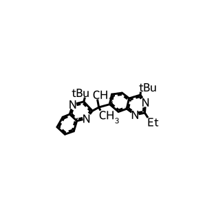 CCc1nc(C(C)(C)C)c2ccc(C(C)(C)c3nc4ccccc4nc3C(C)(C)C)cc2n1